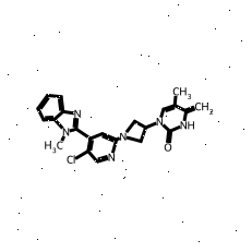 C=C1NC(=O)N(C2CN(c3cc(-c4nc5ccccc5n4C)c(Cl)cn3)C2)C=C1C